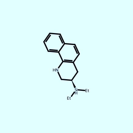 CC[SiH](CC)[C@H]1CNc2c(ccc3ccccc23)C1